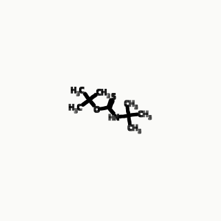 CC(C)(C)NC(=S)OC(C)(C)C